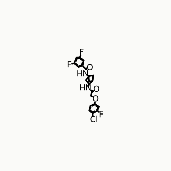 O=C(COc1ccc(Cl)c(F)c1)NC1CC2(NC(=O)c3cc(F)cc(F)c3)CC1C2